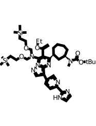 C=C(OCC)c1c([C@H]2CCCC[C@@H](N(C)C(=O)OC(C)(C)C)C2)nc2c(-c3ccc(-c4ncc[nH]4)nc3)cnn2c1N(COCC[Si](C)(C)C)COCC[Si](C)(C)C